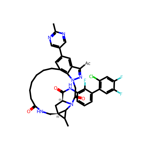 CC(=O)c1nn2c3c(cc(-c4cnc(C)nc4)cc13)CCCCCCC(=O)NC[C@@]13C[C@@H](C(=O)Nc4cccc(-c5cc(F)c(F)cc5Cl)c4F)N(C(=O)C2)C1C3C